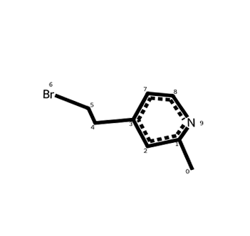 Cc1cc(CCBr)ccn1